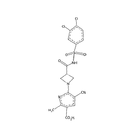 Cc1nc(N2CC(C(=O)NS(=O)(=O)c3ccc(Cl)c(Cl)c3)C2)c(C#N)cc1C(=O)O